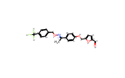 C/C(=N\OCc1ccc(C(F)(F)F)cc1)c1ccc(OCc2ccc(C=O)o2)cc1